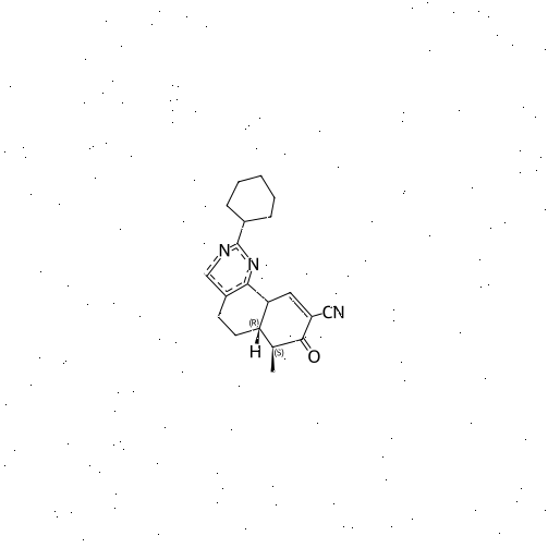 C[C@@H]1C(=O)C(C#N)=CC2c3nc(C4CCCCC4)ncc3CC[C@H]21